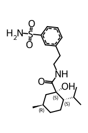 CC(C)[C@@H]1CC[C@@H](C)C[C@@]1(O)C(=O)NCCc1cccc(S(N)(=O)=O)c1